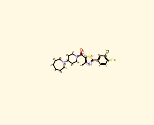 Cc1nc(-c2ccc(F)c(Cl)c2)sc1C(=O)N1CCC(N2CCCCCC2)CC1